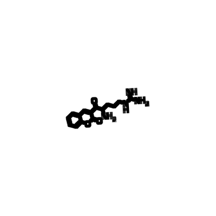 N=C(N)NCCCC(N)C(=O)c1cc2ccccc2oc1=O